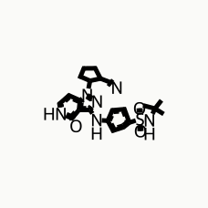 CC(C)(C)NS(=O)(=O)c1ccc(Nc2nn(C3CCCC3C#N)c3cc[nH]c(=O)c23)cc1